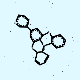 S=P12c3ccccc3Oc3cc(-c4cccnc4)cc(c31)OC1C=CC=CC12